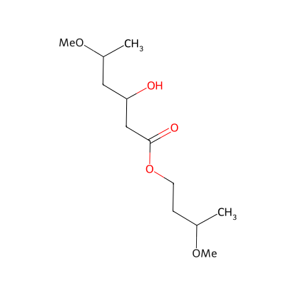 COC(C)CCOC(=O)CC(O)CC(C)OC